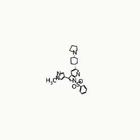 Cn1cc(-c2cn(S(=O)(=O)c3ccccc3)c3ncc([C@H]4CC[C@@H](N5CCCC5)CC4)cc23)cn1